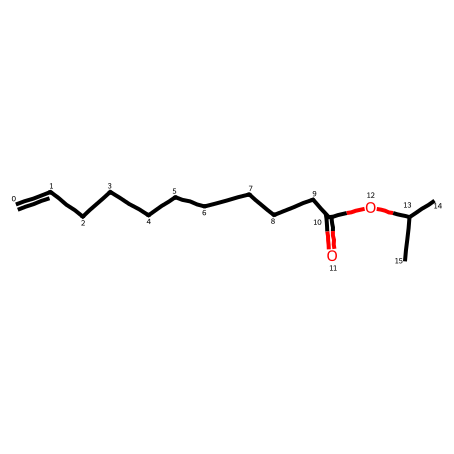 C=CCCCCCCCCC(=O)OC(C)C